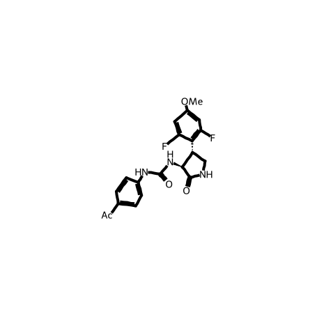 COc1cc(F)c([C@@H]2CNC(=O)[C@H]2NC(=O)Nc2ccc(C(C)=O)cc2)c(F)c1